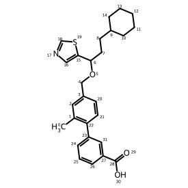 Cc1cc(COC(CCC2CCCCC2)c2cncs2)ccc1-c1cccc(C(=O)O)c1